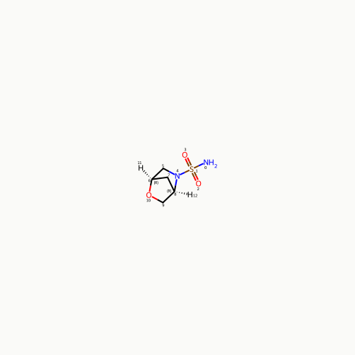 NS(=O)(=O)N1C[C@H]2C[C@@H]1CO2